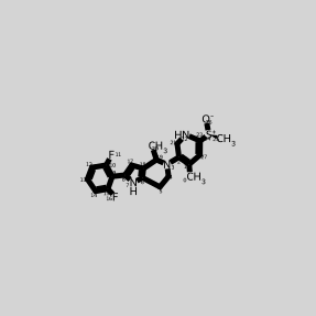 CC1=C(N2CCc3[nH]c(-c4c(F)cccc4F)cc3C2C)CNC([S@+](C)[O-])=C1